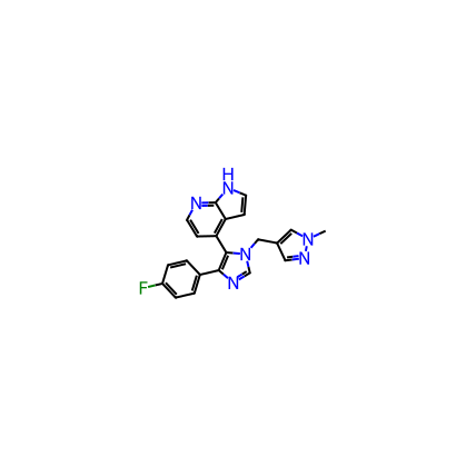 Cn1cc(Cn2cnc(-c3ccc(F)cc3)c2-c2ccnc3[nH]ccc23)cn1